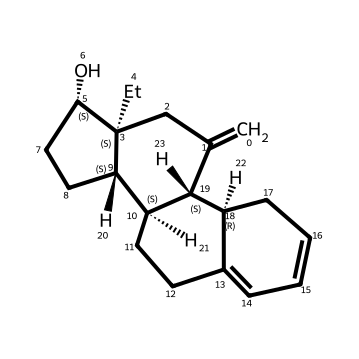 C=C1C[C@]2(CC)[C@@H](O)CC[C@H]2[C@@H]2CCC3=CC=CC[C@@H]3[C@@H]12